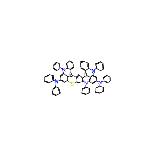 C1=CCC(N2c3ccccc3B3c4cc5c(cc4N(c4ccccc4)c4cc(N(c6ccccc6)c6ccccc6)cc2c43)Sc2cc(N(c3ccccc3)c3ccccc3)cc3c2B5c2ccccc2N3c2ccccc2)C=C1